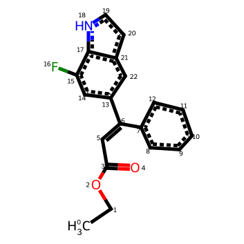 CCOC(=O)C=C(c1ccccc1)c1cc(F)c2[nH]ccc2c1